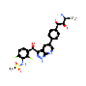 CS(=O)(=O)Nc1c(F)ccc(C(=O)c2n[nH]c3ncc(-c4ccc(C(=O)C(=O)C(N)C(=O)O)cc4)cc23)c1F